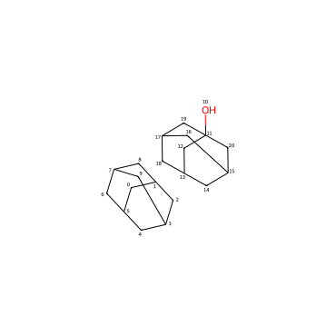 C1C2CC3CC1CC(C2)C3.OC12CC3CC(CC(C3)C1)C2